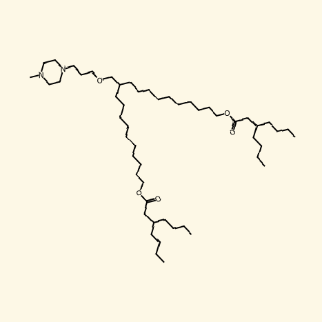 CCCCC(CCCC)CC(=O)OCCCCCCCCCCC(CCCCCCCCCCOC(=O)CC(CCCC)CCCC)COCCCN1CCN(C)CC1